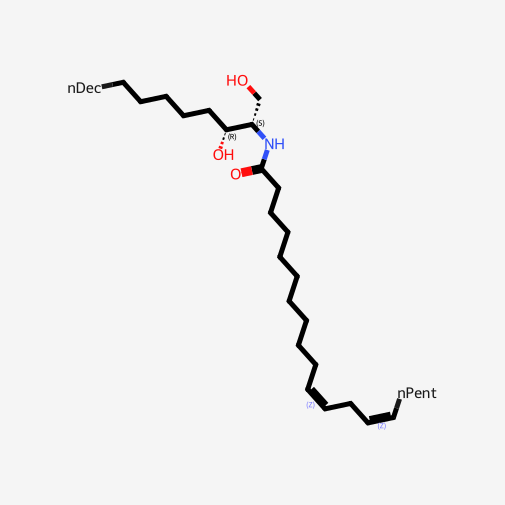 CCCCC/C=C\C/C=C\CCCCCCCCCC(=O)N[C@@H](CO)[C@H](O)CCCCCCCCCCCCCCC